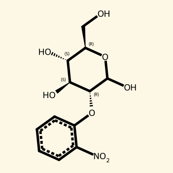 O=[N+]([O-])c1ccccc1O[C@H]1C(O)O[C@H](CO)[C@@H](O)[C@@H]1O